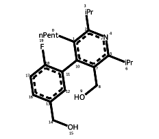 CCCCCc1c(C(C)C)nc(C(C)C)c(CO)c1-c1cc(CO)ccc1F